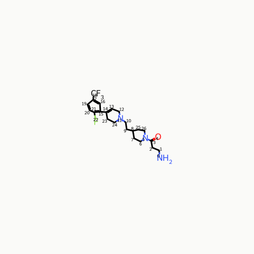 NCCC(=O)N1CCC(CCN2CC=C(c3cc(C(F)(F)F)ccc3F)CC2)CC1